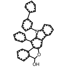 OC1Oc2cc3c4ccccc4n(-c4cccc(-c5ccccc5)c4)c3c(-c3ccccc3)c2-c2ccccc21